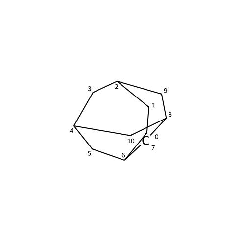 C1CC2CC3CC1CC(C2)C3